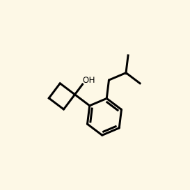 C[C](C)Cc1ccccc1C1(O)CCC1